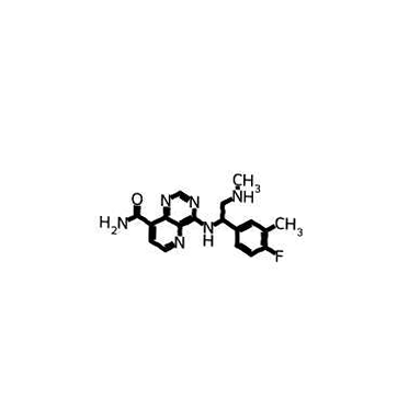 CNCC(Nc1ncnc2c(C(N)=O)ccnc12)c1ccc(F)c(C)c1